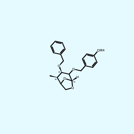 COc1ccc(COC2[C@@H]3OCC(O3)[C@@H](C)[C@H]2OCc2ccccc2)cc1